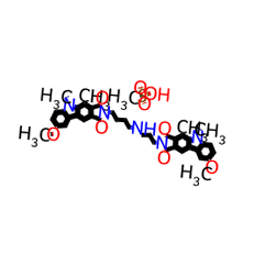 COc1ccc2c(c1)c1cc3c(c(C)c1n2C)C(=O)N(CCCCNCCCN1C(=O)c2cc4c5cc(OC)ccc5n(C)c4c(C)c2C1=O)C3=O.CS(=O)(=O)O